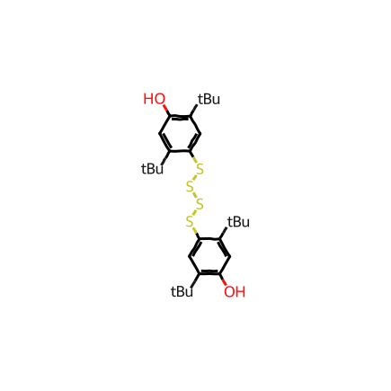 CC(C)(C)c1cc(SSSSc2cc(C(C)(C)C)c(O)cc2C(C)(C)C)c(C(C)(C)C)cc1O